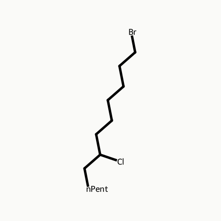 CCCCCCC(Cl)CCCCCCBr